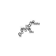 CNC(=O)C1Cc2cc(-n3nc(C(C)(C)C)cc3NC(=O)Nc3cccc(Oc4cccnc4)c3)ccc2CN1